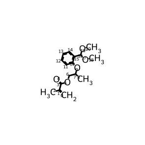 C=C(C)C(=O)OCC(C)Oc1ccccc1C(OC)OC